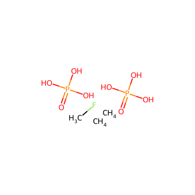 C.C.CF.O=P(O)(O)O.O=P(O)(O)O